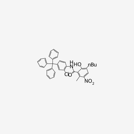 CCCCc1cc([N+](=O)[O-])c(C)c(C(=O)Nc2ccc(C(c3ccccc3)(c3ccccc3)c3ccccc3)cc2Cl)c1O